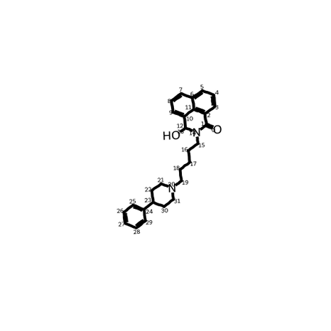 O=C1c2cccc3cccc(c23)C(O)N1CCCCCN1CCC(c2ccccc2)CC1